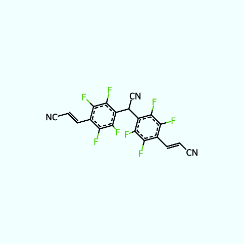 N#CC=Cc1c(F)c(F)c(C(C#N)c2c(F)c(F)c(C=CC#N)c(F)c2F)c(F)c1F